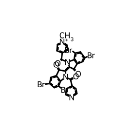 C[n+]1ccc(C(=O)N2/C(=C3\C(=O)c4cc(Br)cc(Br)c4N3C(=O)c3ccncc3)C(=O)c3cc(Br)cc(Br)c32)cc1